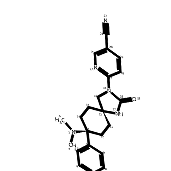 CN(C)[C@]1(c2ccccc2)CC[C@@]2(CC1)CN(c1ccc(C#N)cn1)C(=O)N2